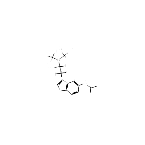 [2H]C([2H])([2H])N(C([2H])([2H])[2H])C([2H])([2H])C([2H])([2H])c1c[nH]c2ccc(OC(F)F)cc12